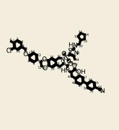 Cc1ccc(COc2ccc([C@H]3COc4cc5c(cc4O3)CN(S(=O)(=O)c3sc(NCC4CCCC4)nc3C)[C@H](C(=O)NC(Cc3ccc(-c4ccc(C#N)cc4)cc3)C(=O)O)C5)cc2)cc1Cl